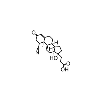 C[C@@]12C(=CC(=O)CC1C#N)CC[C@@H]1C2=CC[C@@]2(C)[C@H]1CC[C@@]2(O)CCC(=O)O